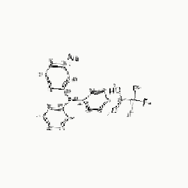 O=C(O)C(F)(F)F.[Au].c1ccc(P(c2ccccc2)c2ccccc2)cc1